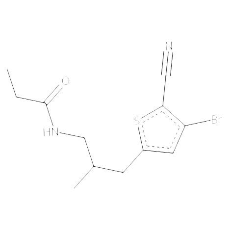 CCC(=O)NCC(C)Cc1cc(Br)c(C#N)s1